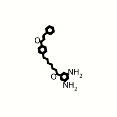 Nc1cc(N)cc(C(=O)CCCCCCc2ccc(C(=O)C=Cc3ccccc3)cc2)c1